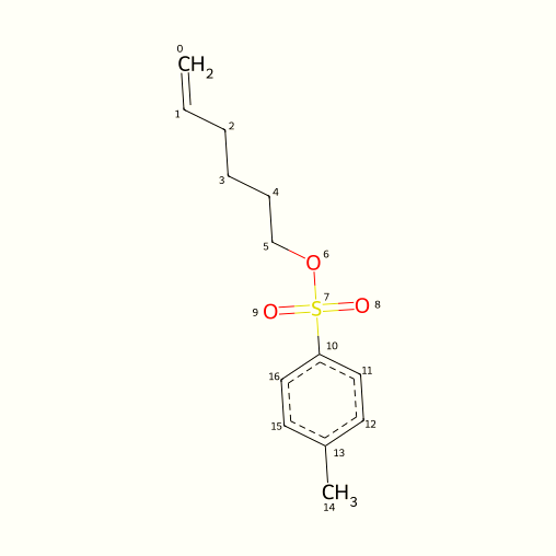 C=CCCCCOS(=O)(=O)c1ccc(C)cc1